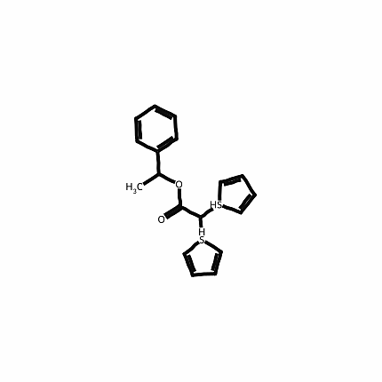 CC(OC(=O)C([SH]1C=CC=C1)[SH]1C=CC=C1)c1ccccc1